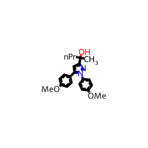 CCCC(C)(O)c1cc(-c2ccc(OC)cc2)n(-c2ccc(OC)cc2)n1